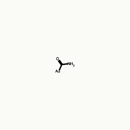 N[C](=O)[Au]